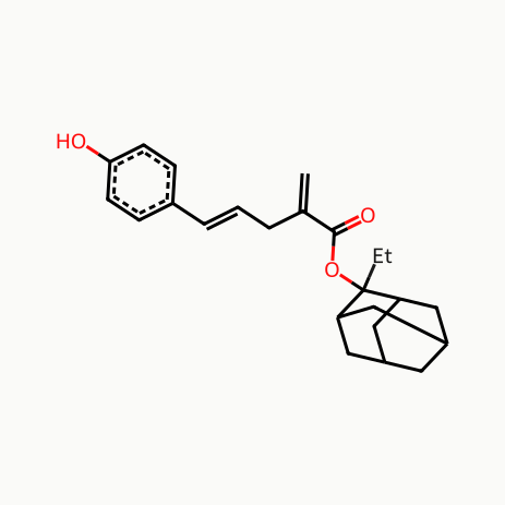 C=C(CC=Cc1ccc(O)cc1)C(=O)OC1(CC)C2CC3CC(C2)CC1C3